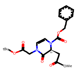 COC(=O)C[C@H]1C(=O)N(CC(=O)OC(C)(C)C)C=CN1C(=O)OCc1ccccc1